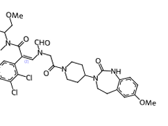 COCC(C)N(C)C(=O)/C(=C\N(C=O)CC(=O)N1CCC(N2CCc3cc(OC)ccc3NC2=O)CC1)c1cccc(Cl)c1Cl